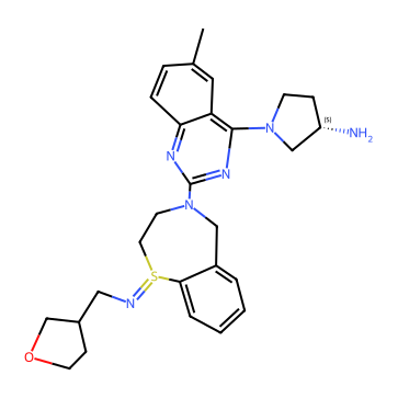 Cc1ccc2nc(N3CCS(=NCC4CCOC4)c4ccccc4C3)nc(N3CC[C@H](N)C3)c2c1